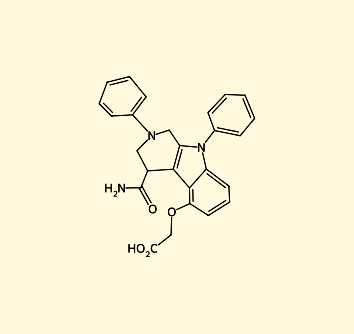 NC(=O)C1CN(c2ccccc2)Cc2c1c1c(OCC(=O)O)cccc1n2-c1ccccc1